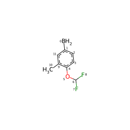 Bc1ccc(OC(F)F)c(C)c1